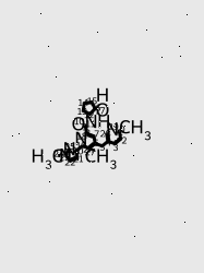 Cc1ccc(Cc2cc(C(=O)N[C@H]3CCC[C@@H]3O)nc(-c3ccn(C)n3)c2C)cn1